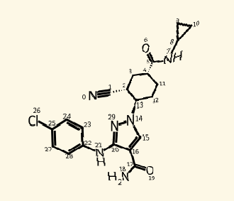 N#C[C@@H]1C[C@H](C(=O)NC2CC2)CC[C@H]1n1cc(C(N)=O)c(Nc2ccc(Cl)cc2)n1